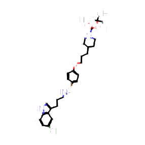 CC(C)(C)OC(=O)N1CCC(CCCOc2ccc(SNCCCc3c[nH]c4ccc(Cl)cc34)cc2)CC1